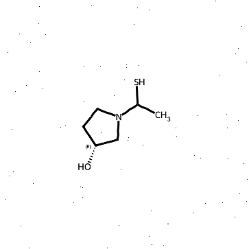 CC(S)N1CC[C@@H](O)C1